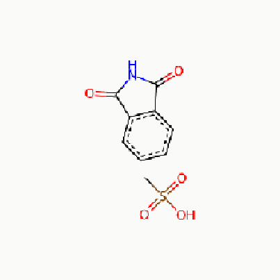 CS(=O)(=O)O.O=C1NC(=O)c2ccccc21